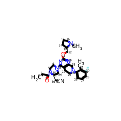 C=CC(=O)N1CCN(c2nc(OC[C@@H]3CCCN3C)nc3c2CCN(c2cccc(F)c2C)C3)C[C@@H]1CC#N